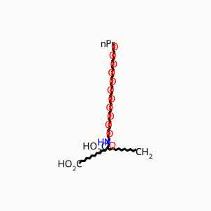 C=CCCCCCCCCCC(CCCCCCCCCCC(=O)O)(C(=O)O)C(=O)NCCOCCOCCOCCOCCOCCOCCOCCOCCOCCOCCOCCC